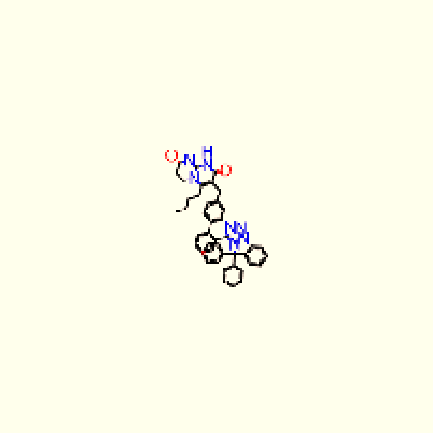 CCCCC1=C(Cc2ccc(-c3ccccc3-c3nnnn3C(c3ccccc3)(c3ccccc3)c3ccccc3)cc2)C(=O)NC2=NC(=O)CCN21